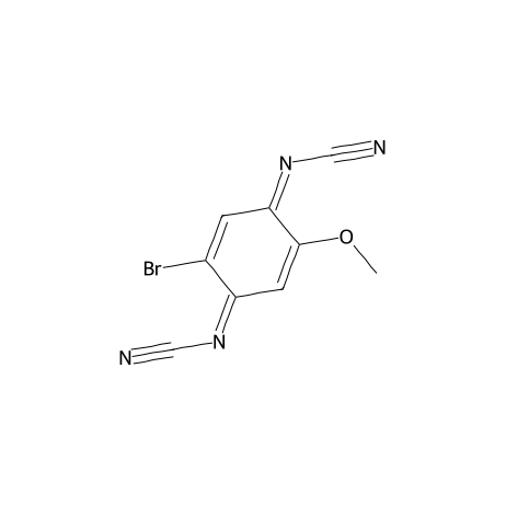 COC1=CC(=NC#N)C(Br)=CC1=NC#N